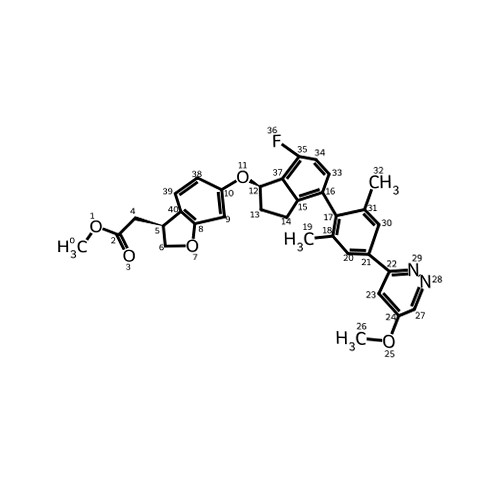 COC(=O)C[C@@H]1COc2cc(O[C@@H]3CCc4c(-c5c(C)cc(-c6cc(OC)cnn6)cc5C)ccc(F)c43)ccc21